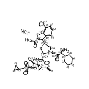 C=C[C@@H]1C[C@]1(NC(=O)[C@@H]1C[C@@H](C2c3cccc(Cl)c3CN2C(=O)O)CN1C(=O)[C@@H](N)C1CCCCC1)C(=O)NS(=O)(=O)C1CC1.Cl